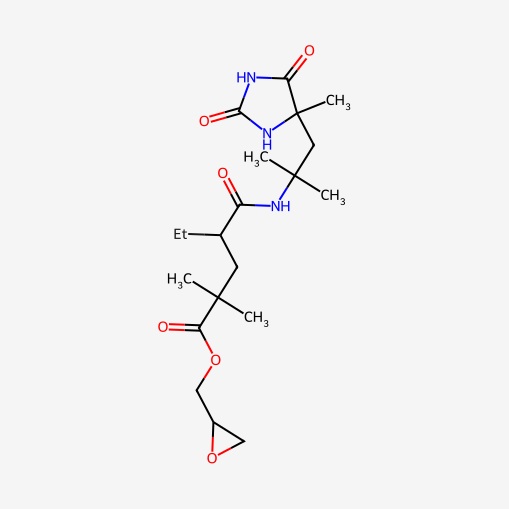 CCC(CC(C)(C)C(=O)OCC1CO1)C(=O)NC(C)(C)CC1(C)NC(=O)NC1=O